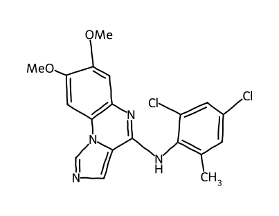 COc1cc2nc(Nc3c(C)cc(Cl)cc3Cl)c3cncn3c2cc1OC